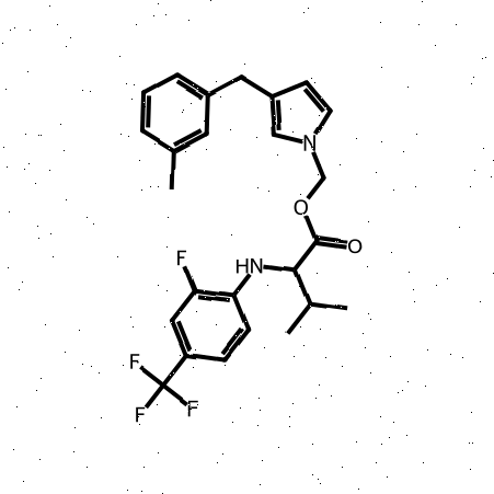 Cc1cccc(Cc2ccn(COC(=O)C(Nc3ccc(C(F)(F)F)cc3F)C(C)C)c2)c1